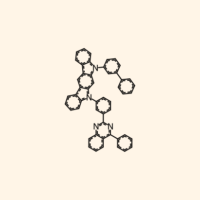 c1ccc(-c2cccc(-n3c4ccccc4c4cc5c6ccccc6n(-c6cccc(-c7nc(-c8ccccc8)c8ccccc8n7)c6)c5cc43)c2)cc1